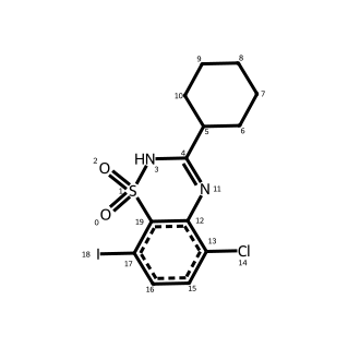 O=S1(=O)NC(C2CCCCC2)=Nc2c(Cl)ccc(I)c21